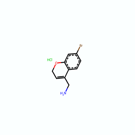 Cl.NCC1=CCOc2cc(Br)ccc21